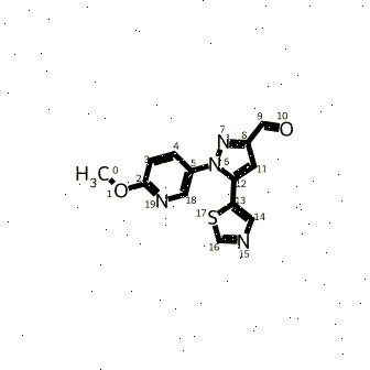 COc1ccc(-n2nc(C=O)cc2-c2cncs2)cn1